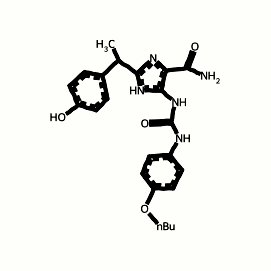 CCCCOc1ccc(NC(=O)Nc2[nH]c(C(C)c3ccc(O)cc3)nc2C(N)=O)cc1